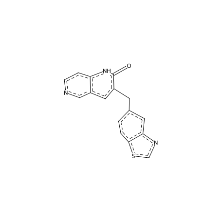 O=c1[nH]c2ccncc2cc1Cc1ccc2scnc2c1